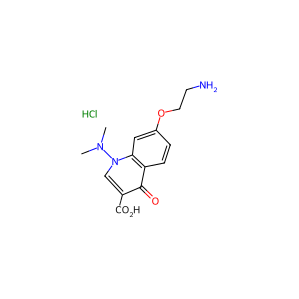 CN(C)n1cc(C(=O)O)c(=O)c2ccc(OCCN)cc21.Cl